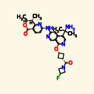 C[C@@H]1OC(=O)c2ccc(Nc3cc4c(C(C)(C)N)cnc(O[C@H]5C[C@@H](C(=O)N6CC(F)C6)C5)c4cn3)nc2[C@H]1C